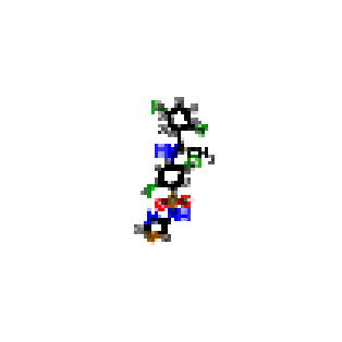 C[C@H](Nc1cc(F)c(S(=O)(=O)Nc2cscn2)cc1Cl)c1cc(F)ccc1F